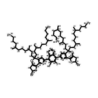 CC(C)CCCC(C)CCCC(C)CCC1(CCC(C)CCCC(C)CCCC(C)C)OC2=C(SC(Br)C2)c2sc(-c3c(F)c(F)c(-c4cc5c(s4)C4=C(CC(Br)S4)OC5(CCC(C)CCCC(C)CCCC(C)C)CCC(C)CCCC(C)CCCC(C)C)c4nsnc34)cc21